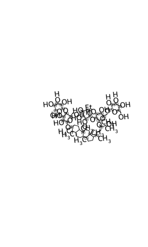 CC[C@@H]1O[C@H](O[C@H]2[C@H](O[C@H](CC[C@@H](C)C3CC[C@@]4(C)C5CC=C6C(CC[C@H](O[C@@H]7O[C@H](CO)[C@@H](O[C@@H]8O[C@H](CO)[C@@H](O)[C@H](O)[C@H]8O)[C@H](O)[C@H]7O)C6(C)C)[C@]5(C)C(=O)C[C@]34C)C(C)(C)O)O[C@H](CO[C@H]3O[C@H](CO)[C@@H](O)[C@H](O)[C@H]3O)[C@@H](O)[C@@H]2O)[C@@H](O)[C@H](O)[C@H]1O